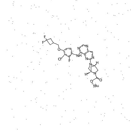 CC(C)(C)OC(=O)N1C[C@@H]2C[C@H]1CN2c1ncc2ncnc(Nc3ccc(OCC4CC(F)(F)C4)c(Cl)c3F)c2n1